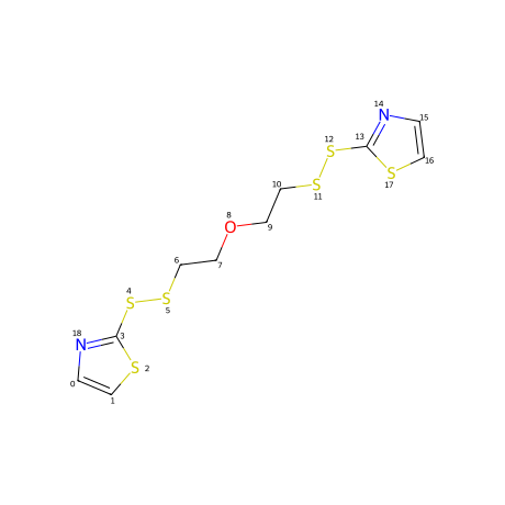 c1csc(SSCCOCCSSc2nccs2)n1